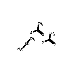 CC(=S)[S-].CC(=S)[S-].[CH3][Sn+2][CH3]